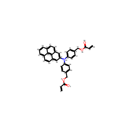 C=CC(=O)OCc1ccc(N(c2ccc(COC(=O)C=C)cc2)c2cc3ccc4cccc5ccc(c2)c3c45)cc1